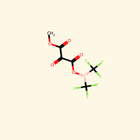 COC(=O)C(=O)C(=O)OB(C(F)(F)F)C(F)(F)F